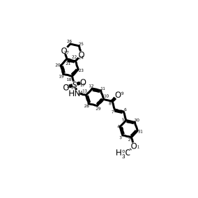 COc1ccc(C=CC(=O)c2ccc(NS(=O)(=O)c3ccc4c(c3)OCCO4)cc2)cc1